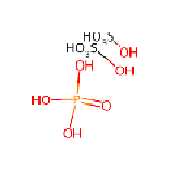 O=P(O)(O)O.O=S(=O)(O)O.O=S(=O)(O)O